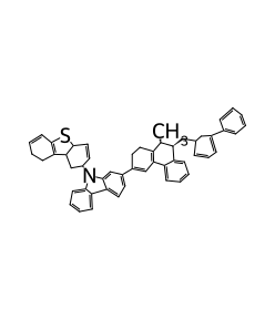 C[C@@H]1C2=C(C=C(c3ccc4c5ccccc5n(C5C=CC6SC7=C(CCC=C7)C6C5)c4c3)CC2)c2ccccc2[C@@H]1CC1C=CC=C(c2ccccc2)C1